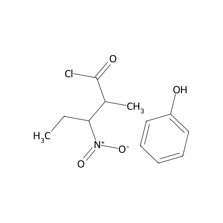 CCC(C(C)C(=O)Cl)[N+](=O)[O-].Oc1ccccc1